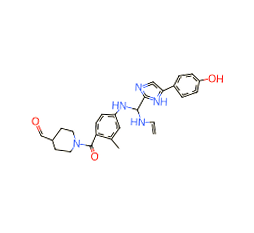 C=CNC(Nc1ccc(C(=O)N2CCC(C=O)CC2)c(C)c1)c1ncc(-c2ccc(O)cc2)[nH]1